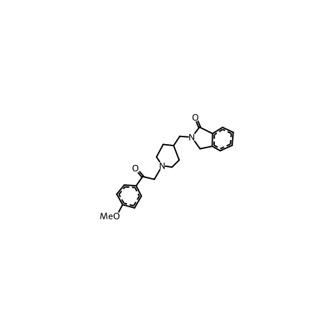 COc1ccc(C(=O)CN2CCC(CN3Cc4ccccc4C3=O)CC2)cc1